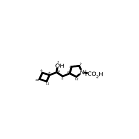 O=C(O)N1CCC(CC(O)C2CCC2)C1